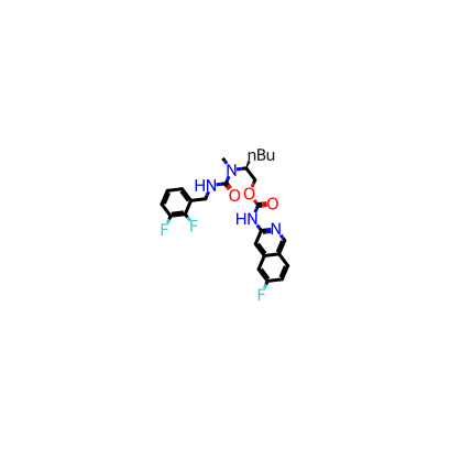 [CH2]CCC[C@@H](COC(=O)Nc1cc2cc(F)ccc2cn1)N(C)C(=O)NCc1cccc(F)c1F